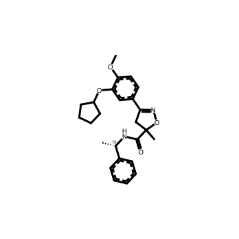 COc1ccc(C2=NOC(C)(C(=O)N[C@@H](C)c3ccccc3)C2)cc1OC1CCCC1